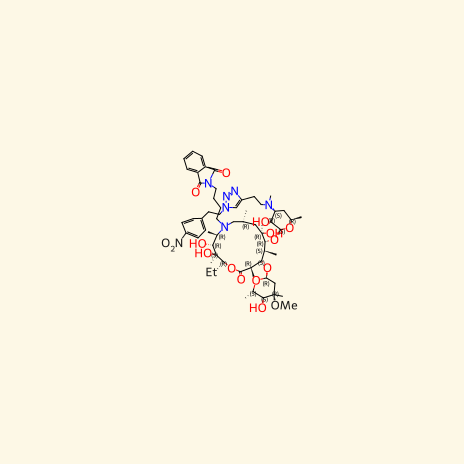 CC[C@H]1OC(=O)[C@H](C)[C@@H](O[C@H]2C[C@@](C)(OC)[C@@H](O)[C@H](C)O2)[C@H](C)[C@@H](O[C@@H]2O[C@H](C)C[C@H](N(C)CCc3cn(CCc4ccc([N+](=O)[O-])cc4)nn3)[C@H]2O)[C@](C)(O)C[C@@H](C)CN(CCCCN2C(=O)c3ccccc3C2=O)[C@H](C)[C@@H](O)[C@]1(C)O